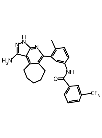 Cc1ccc(NC(=O)c2cccc(C(F)(F)F)c2)cc1-c1nc2[nH]nc(N)c2c2c1CCCCC2